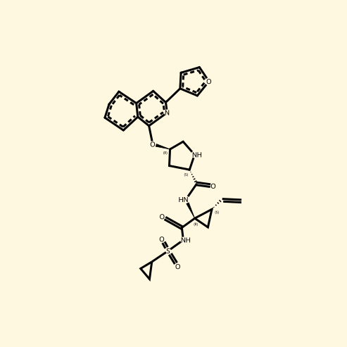 C=C[C@@H]1C[C@]1(NC(=O)[C@@H]1C[C@@H](Oc2nc(-c3ccoc3)cc3ccccc23)CN1)C(=O)NS(=O)(=O)C1CC1